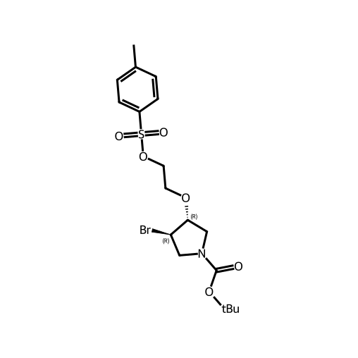 Cc1ccc(S(=O)(=O)OCCO[C@@H]2CN(C(=O)OC(C)(C)C)C[C@H]2Br)cc1